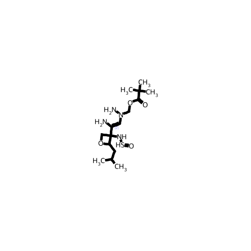 CC(C)CC1OCC1(N[SH]=O)/C(N)=C/N(N)COC(=O)C(C)(C)C